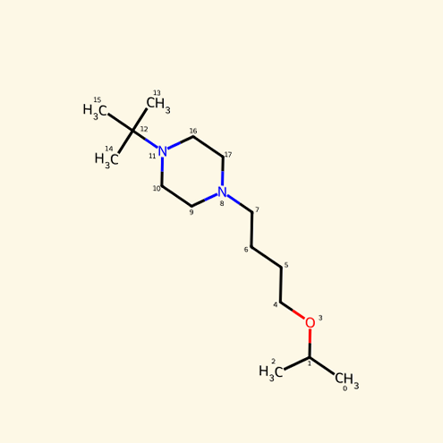 CC(C)OCCCCN1CCN(C(C)(C)C)CC1